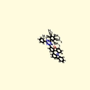 Bc1c(B)c(B)c(-c2nc(-c3ccccc3)nc(-c3cccc4c3oc3cccc(-n5c6ccccc6c6ccccc65)c34)n2)c(B)c1B